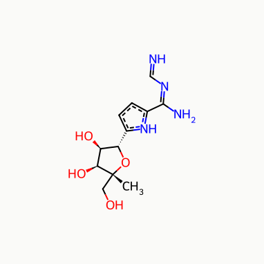 C[C@]1(CO)O[C@@H](c2ccc(/C(N)=N\C=N)[nH]2)[C@H](O)[C@@H]1O